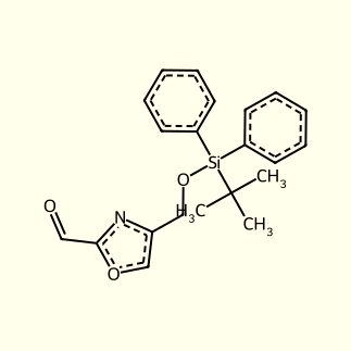 CC(C)(C)[Si](OCc1coc(C=O)n1)(c1ccccc1)c1ccccc1